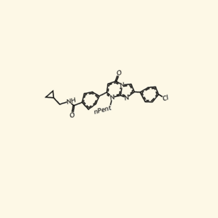 CCCCCn1c(-c2ccc(C(=O)NCC3CC3)cc2)cc(=O)n2cc(-c3ccc(Cl)cc3)nc12